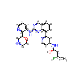 C/C(F)=C/C(=O)Nc1ccnc(-c2cccc3cnc(Nc4cccnc4C4CNCCO4)nc23)c1